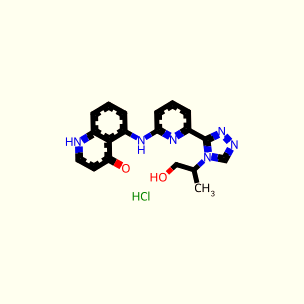 CC(CO)n1cnnc1-c1cccc(Nc2cccc3[nH]ccc(=O)c23)n1.Cl